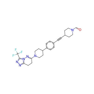 O=CN1CCC(C#Cc2ccc(C3CCN(C4=Nn5c(nnc5C(F)(F)F)CC4)CC3)cc2)CC1